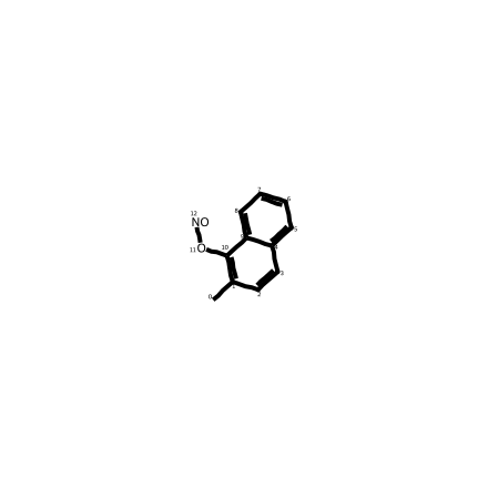 Cc1ccc2ccccc2c1ON=O